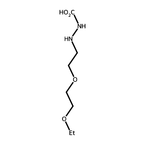 CCOCCOCCNNC(=O)O